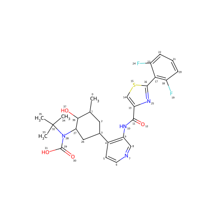 CC1CC(c2ccncc2NC(=O)c2csc(-c3c(F)cccc3F)n2)CC(N(C(=O)O)C(C)(C)C)C1O